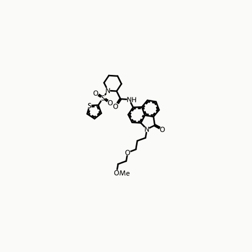 COCCOCCCN1C(=O)c2cccc3c(NC(=O)C4CCCCN4S(=O)(=O)c4cccs4)ccc1c23